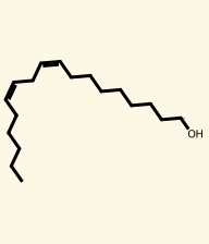 CCCCC/C=C\C/C=C\CCCCCCC[CH]O